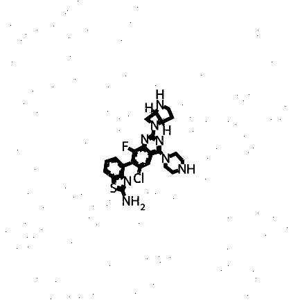 Nc1nc2c(-c3c(Cl)cc4c(N5CCNCC5)nc(N5C[C@@H]6NCC[C@@H]65)nc4c3F)cccc2s1